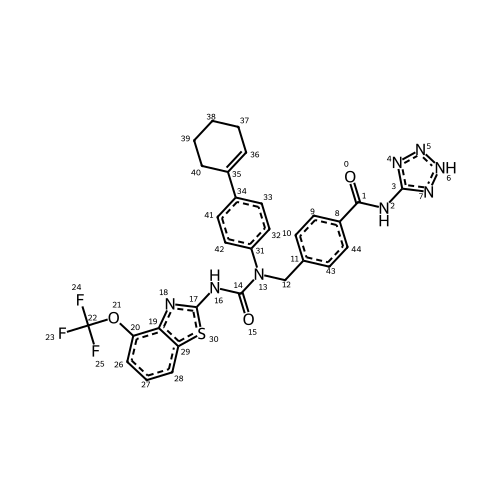 O=C(Nc1nn[nH]n1)c1ccc(CN(C(=O)Nc2nc3c(OC(F)(F)F)cccc3s2)c2ccc(C3=CCCCC3)cc2)cc1